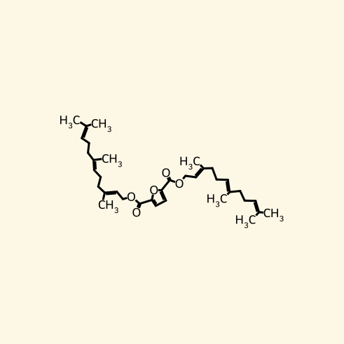 CC(C)=CCC/C(C)=C/CC/C(C)=C/COC(=O)c1ccc(C(=O)OC/C=C(\C)CC/C=C(\C)CCC=C(C)C)o1